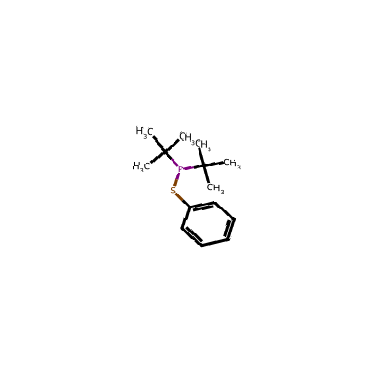 CC(C)(C)P(Sc1ccccc1)C(C)(C)C